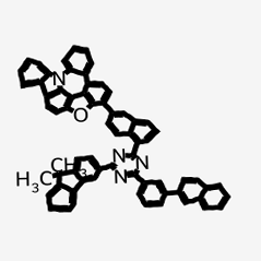 CC1(C)c2ccccc2-c2cc(-c3nc(-c4cccc(-c5ccc6ccccc6c5)c4)nc(-c4cccc5cc(-c6ccc7c8ccccc8n8c9ccccc9c9ccc%10oc6c7c%10c98)ccc45)n3)ccc21